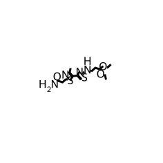 CCOC(CCNc1nc(-c2sc(CC(N)=O)nc2C)cs1)OCC